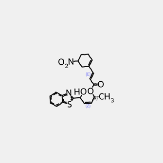 C[C@H](/C=C\C(O)c1nc2ccccc2s1)OC(=O)/C=C/C1=CCCC([N+](=O)[O-])C1